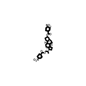 CC(COC(=O)c1ccc([N+](=O)[O-])cc1)[C@H]1CC[C@H]2C3=CCC4C[C@H](OC(=O)c5ccc([N+](=O)[O-])cc5)CC[C@]4(C)[C@H]3CC[C@]12C